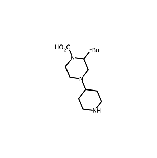 CC(C)(C)C1CN(C2CCNCC2)CCN1C(=O)O